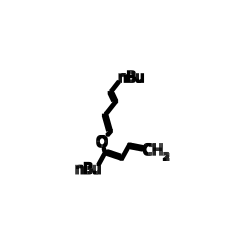 C=CC=C(CCCC)OC=CC=CCCCC